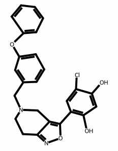 Oc1cc(O)c(-c2onc3c2CN(Cc2cccc(Oc4ccccc4)c2)CC3)cc1Cl